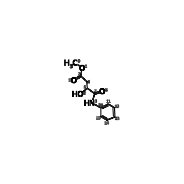 COC(=O)CC(O)C(=O)Nc1ccccc1